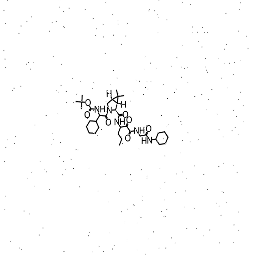 CCCC(NC(=O)[C@@H]1[C@@H]2[C@H](CN1C(=O)C(NC(=O)OC(C)(C)C)C1CCCCC1)C2(C)C)C(=O)C(=O)NCC(=O)NC1CCCCC1